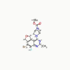 Cc1nc(N2CC3CC2CN3C(=O)OC(C)(C)C)c2c3c(c(Br)c(F)c2n1)COC3